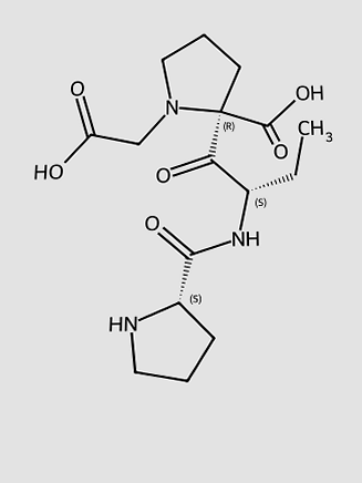 CC[C@H](NC(=O)[C@@H]1CCCN1)C(=O)[C@@]1(C(=O)O)CCCN1CC(=O)O